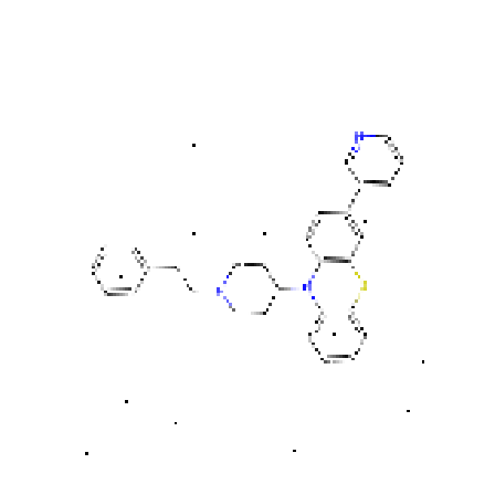 c1ccc(CCN2CCC(N3c4ccccc4Sc4cc(-c5cccnc5)ccc43)CC2)cc1